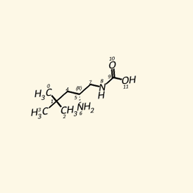 CC(C)(C)C[C@@H](N)CNC(=O)O